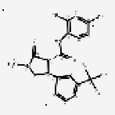 CN1C[C@H](c2cccc(C(F)(F)F)c2)[C@@H](C(=O)Nc2ccc(F)nc2F)C1=O